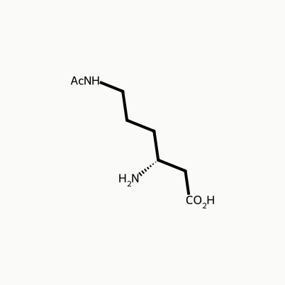 CC(=O)NCCC[C@@H](N)CC(=O)O